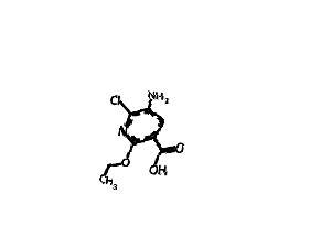 CCOc1nc(Cl)c(N)cc1C(=O)O